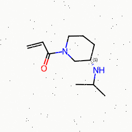 C=CC(=O)N1CCC[C@H](NC(C)C)C1